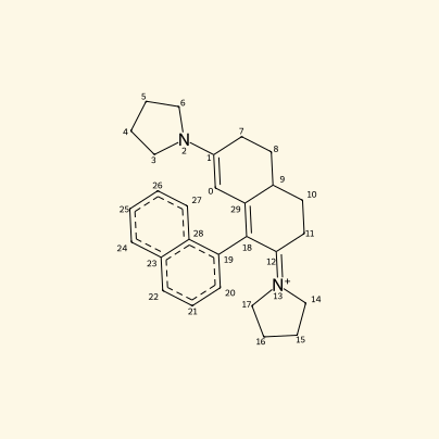 C1=C(N2CCCC2)CCC2CCC(=[N+]3CCCC3)C(c3cccc4ccccc34)=C12